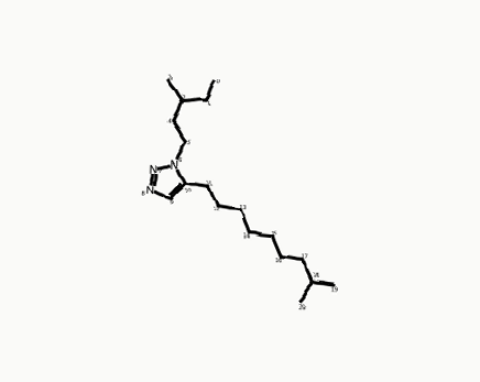 CCC(C)CCn1nncc1CCCCCCCC(C)C